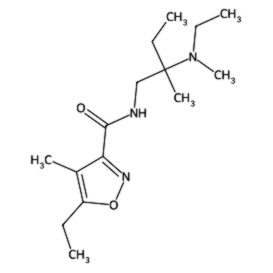 CCc1onc(C(=O)NCC(C)(CC)N(C)CC)c1C